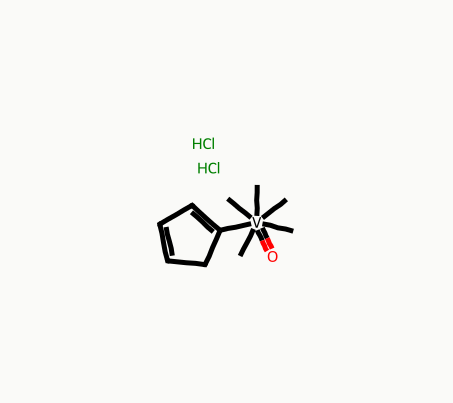 Cl.Cl.[CH3][V]([CH3])([CH3])([CH3])([CH3])(=[O])[C]1=CC=CC1